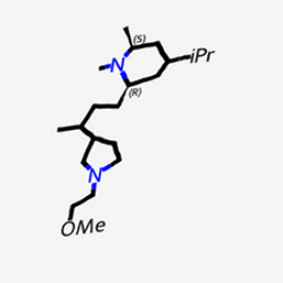 COCCN1CCC(C(C)CC[C@@H]2CC(C(C)C)C[C@H](C)N2C)C1